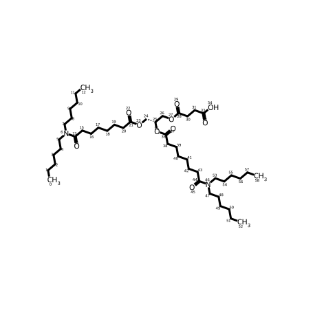 CCCCCCN(CCCCCC)C(=O)CCCCCCC(=O)OC[C@H](COC(=O)CCC(=O)O)OC(=O)CCCCCCC(=O)N(CCCCCC)CCCCCC